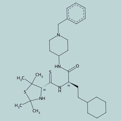 CC1(C)N[C@@H](C(=S)N[C@H](CCC2CCCCC2)C(=O)NC2CCN(Cc3ccccc3)CC2)C(C)(C)S1